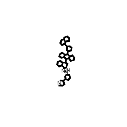 c1cncc(-c2cccc(-n3nc4cc(-c5c6ccccc6c(-c6cccc(-c7cccc8ccccc78)c6)c6ccccc56)c5ccccc5c4n3)c2)c1